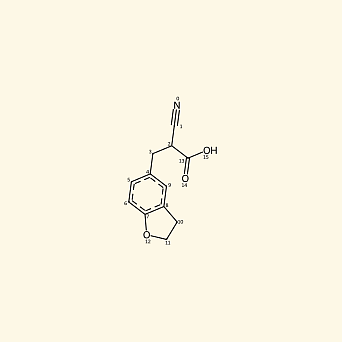 N#CC(Cc1ccc2c(c1)CCO2)C(=O)O